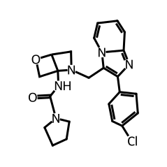 O=C(NC12COC1CN2Cc1c(-c2ccc(Cl)cc2)nc2ccccn12)N1CCCC1